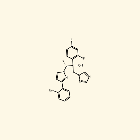 C[C@@H](n1ccc(-c2ccccc2Br)n1)[C@](O)(Cn1cncn1)c1ccc(F)cc1F